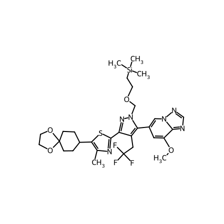 COc1cc(-c2c(CC(F)(F)F)c(-c3nc(C)c(C4CCC5(CC4)OCCO5)s3)nn2COCC[Si](C)(C)C)cn2ncnc12